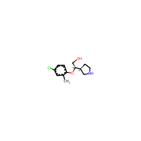 Cc1cc(Cl)ccc1O[C@@H](CO)[C@H]1CCNC1